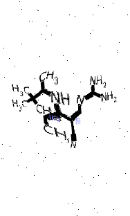 C/C=C(NC(C)C(C)(C)C)\C(C#N)=C/N=C(N)N